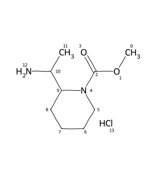 COC(=O)N1CCCCC1C(C)N.Cl